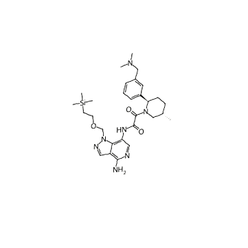 C[C@H]1CC[C@H](c2cccc(CN(C)C)c2)N(C(=O)C(=O)Nc2cnc(N)c3cnn(COCC[Si](C)(C)C)c23)C1